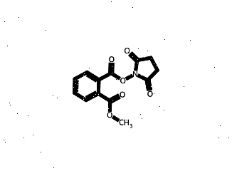 COC(=O)c1ccccc1C(=O)ON1C(=O)CCC1=O